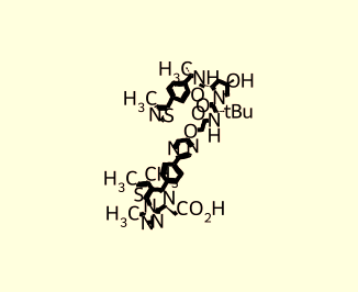 Cc1ncsc1-c1ccc([C@H](C)NC(=O)[C@@H]2C[C@@H](O)CN2C(=O)[C@@H](NC(=O)COc2cnc(-c3ccc(C4=N[C@@H](CC(=O)O)c5nnc(C)n5-c5sc(C)c(C)c54)cc3)cn2)C(C)(C)C)cc1